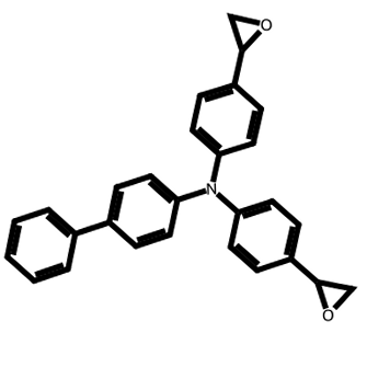 c1ccc(-c2ccc(N(c3ccc(C4CO4)cc3)c3ccc(C4CO4)cc3)cc2)cc1